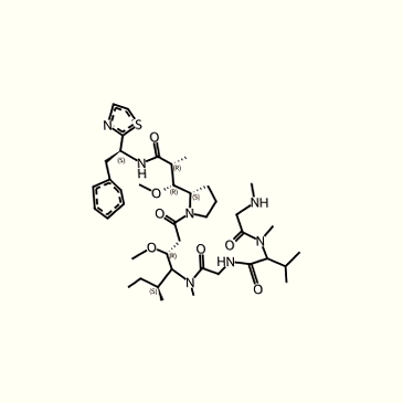 CC[C@H](C)C([C@@H](CC(=O)N1CCC[C@H]1[C@H](OC)[C@@H](C)C(=O)N[C@@H](Cc1ccccc1)c1nccs1)OC)N(C)C(=O)CNC(=O)C(C(C)C)N(C)C(=O)CNC